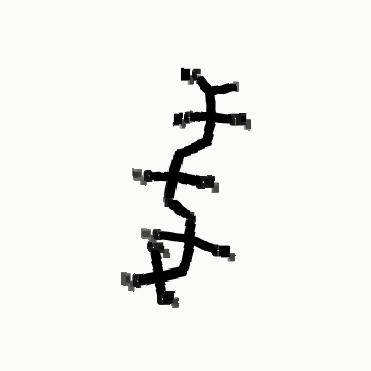 CC(I)C(C)(C)CCC(C)(C)SSC(C)(C)CC(C)(C)C